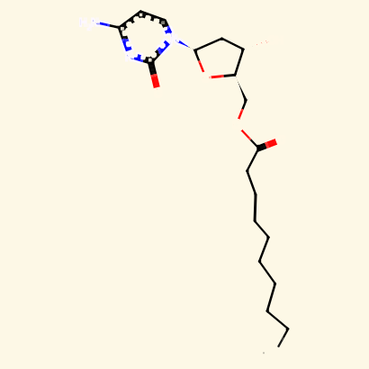 Nc1ccn([C@H]2C[C@H](O)[C@@H](COC(=O)CCCCCCCCC=O)O2)c(=O)n1